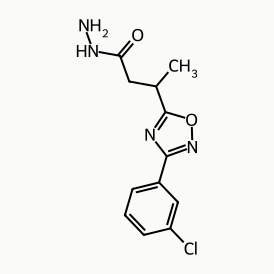 CC(CC(=O)NN)c1nc(-c2cccc(Cl)c2)no1